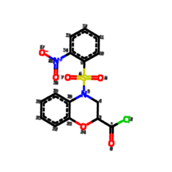 O=C(Cl)C1CN(S(=O)(=O)c2ccccc2[N+](=O)[O-])c2ccccc2O1